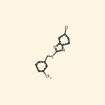 FC(F)(F)c1cccc(CSc2nc3ccc(Cl)cc3o2)c1